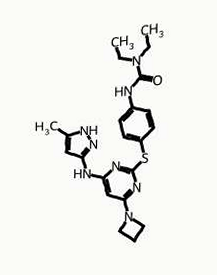 CCN(CC)C(=O)Nc1ccc(Sc2nc(Nc3cc(C)[nH]n3)cc(N3CCC3)n2)cc1